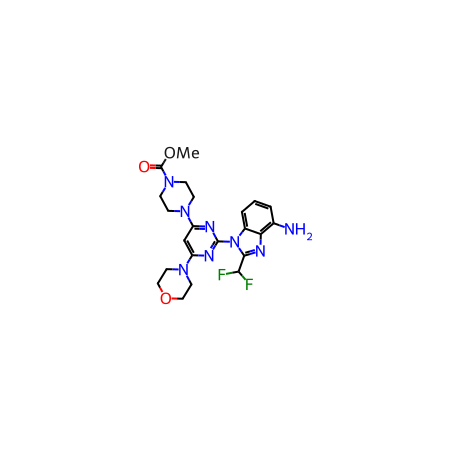 COC(=O)N1CCN(c2cc(N3CCOCC3)nc(-n3c(C(F)F)nc4c(N)cccc43)n2)CC1